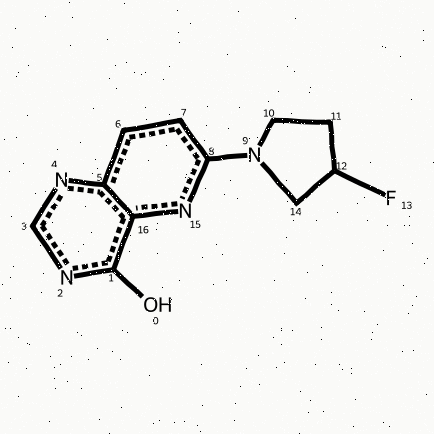 Oc1ncnc2ccc(N3CCC(F)C3)nc12